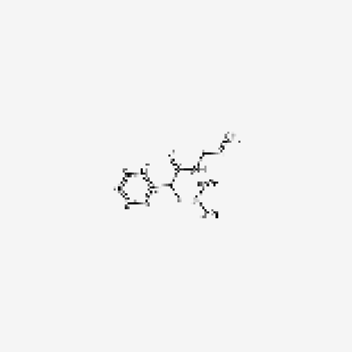 C=CCNC(=S)C(CN(CCC)CCC)c1ccccn1